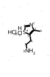 Cc1ncsc1CCN.Cl.Cl